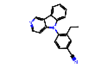 CCc1cc(C#N)ccc1-n1c2ccccc2c2cnccc21